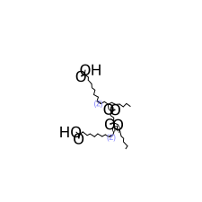 CCCCCCC(C/C=C\CCCCCCCC(=O)O)OC(=O)CCC(=O)O[C@@H](C/C=C\CCCCCCCC(=O)O)CCCCCC